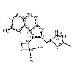 CC1=CN(Cc2nc3cnc4ccc(Cl)cc4c3n2C2CCC2(F)F)NN1